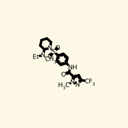 CCN(C)C1CCCCN1S(=O)(=O)c1ccc(NC(=O)c2cc(C(F)(F)F)nn2C)cc1